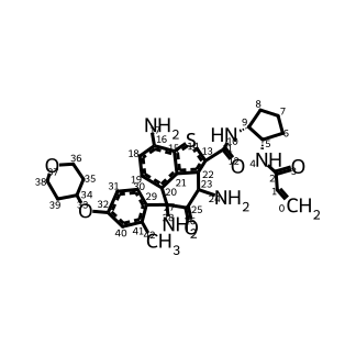 C=CC(=O)N[C@H]1CCC[C@H]1NC(=O)c1sc2c(N)ccc3c2c1C(N)C(=O)C3(N)c1ccc(OC2CCOCC2)cc1C